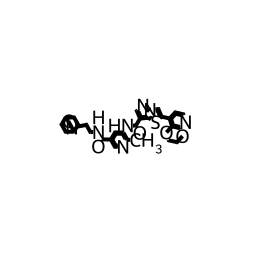 Cc1ncc(C(=O)NCCN2CC3CCC2CC3)cc1NC(=O)c1cnn2cc(-c3ccnc4c3OCCO4)sc12